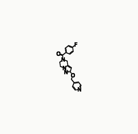 O=C(c1ccc(F)cc1)N1CCn2nc(OCc3ccncc3)cc2C1